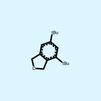 CC(C)(C)c1cc2c(c(C(C)(C)C)c1)COC2